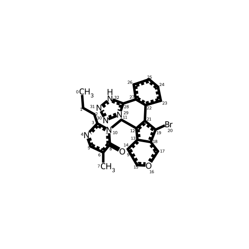 CCCc1ncc(C)c(=O)n1Cc1c2ccocc-2c(Br)c1-c1ccccc1-c1nnn[nH]1